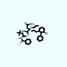 CC=CO[C@](CCCc1cccc(Cl)c1-c1ccccc1)(CC(N)=O)C(=O)N[C@H](C(=O)N[C@H](C)c1ccccc1)C(C)(C)C